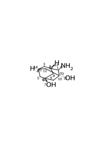 NC1[C@H]2C[C@@H]3C[C@](O)(C2)C[C@@]1(O)C3